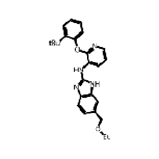 CCOCc1ccc2nc(Nc3cccnc3Oc3ccccc3C(C)(C)C)[nH]c2c1